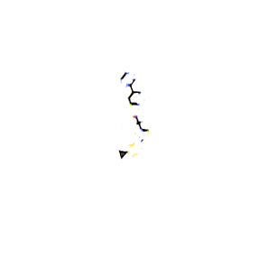 CC(C)(C(=O)Nc1ncc(-c2cnccn2)cc1F)c1csc(NS(=O)(=O)C2CC2)n1